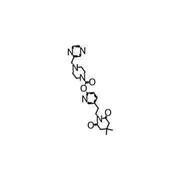 CC1(C)CC(=O)N(CCc2ccc(OC(=O)N3CCN(Cc4cnccn4)CC3)nc2)C(=O)C1